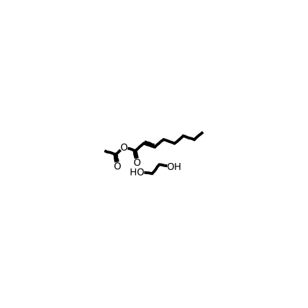 CCCCCC=CC(=O)OC(C)=O.OCCO